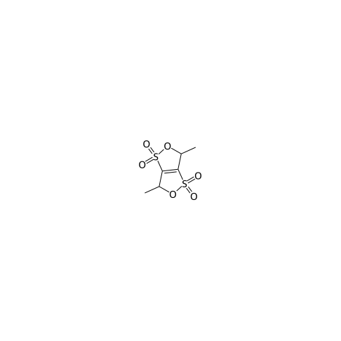 CC1OS(=O)(=O)C2=C1S(=O)(=O)OC2C